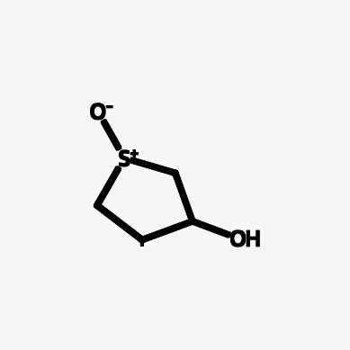 [O-][S+]1C[CH]C(O)C1